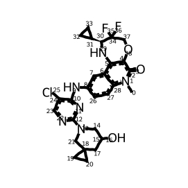 Cn1c(=O)c2c(c3cc(Nc4nc(N5CC(O)CC6(CC6)C5)ncc4Cl)ccc31)N[C@@H](C1CC1)C(F)(F)CO2